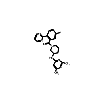 Cc1cc(NC2CCCN(C(=O)c3cc(F)ccc3-c3ncccn3)C2)nc(C(F)(F)F)n1